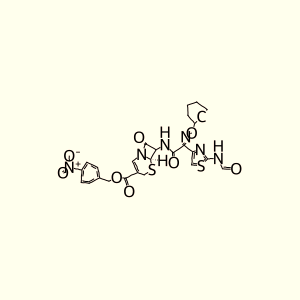 O=CNc1nc(C(=NOC2CCCCC2)C(=O)NC2C(=O)N3C=C(C(=O)OCc4ccc([N+](=O)[O-])cc4)CS[C@H]23)cs1